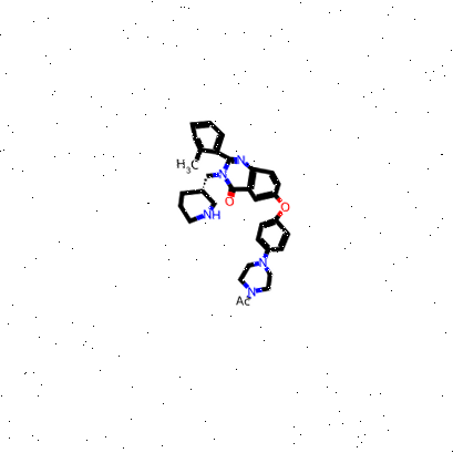 CC(=O)N1CCN(c2ccc(Oc3ccc4nc(-c5ccccc5C)n(C[C@H]5CCCNC5)c(=O)c4c3)cc2)CC1